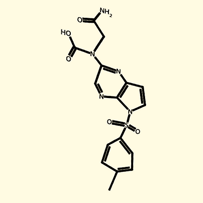 Cc1ccc(S(=O)(=O)n2ccc3nc(N(CC(N)=O)C(=O)O)cnc32)cc1